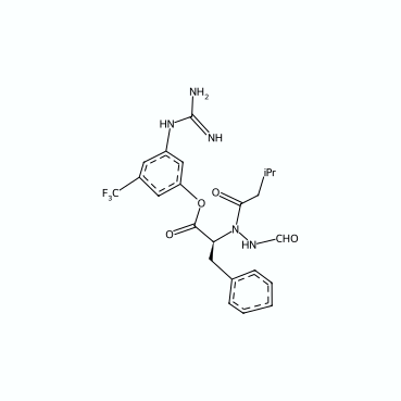 CC(C)CC(=O)N(NC=O)[C@@H](Cc1ccccc1)C(=O)Oc1cc(NC(=N)N)cc(C(F)(F)F)c1